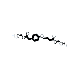 CCOC(=O)CCCOc1ccc(CC(=O)OCC)cc1